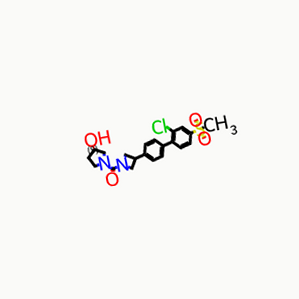 CS(=O)(=O)c1ccc(-c2ccc(C3CN(C(=O)N4CC[C@H](O)C4)C3)cc2)c(Cl)c1